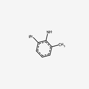 Cc1cccc(C(C)C)c1[NH]